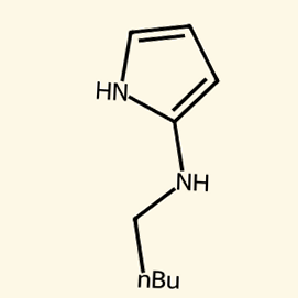 CCCCCNc1ccc[nH]1